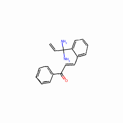 C=CC(N)(N)c1ccccc1C=CC(=O)c1ccccc1